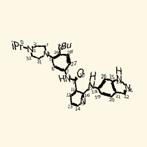 CC(C)N1CCN(c2cc(NC(=O)c3cccnc3Nc3ccc4cn[nH]c4c3)ccc2C(C)(C)C)CC1